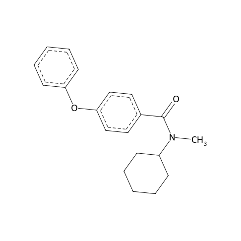 CN(C(=O)c1ccc(Oc2ccccc2)cc1)C1CCCCC1